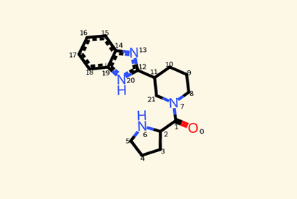 O=C(C1CCCN1)N1CCCC(c2nc3ccccc3[nH]2)C1